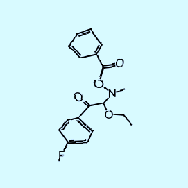 CCOC(C(=O)c1ccc(F)cc1)N(C)OC(=O)c1ccccc1